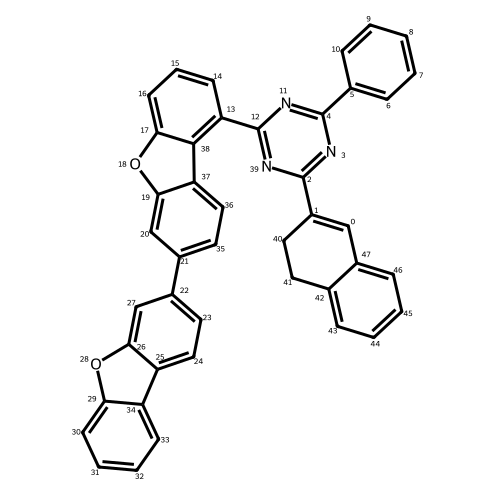 C1=C(c2nc(-c3ccccc3)nc(-c3cccc4oc5cc(-c6ccc7c(c6)oc6ccccc67)ccc5c34)n2)CCc2ccccc21